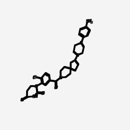 Nc1ccc(N2CCN(C3CCC4(CCN(C(=O)c5ccc(Cl)c(N6CCC(=O)NC6=O)c5)CC4)C3)CC2)cc1